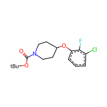 CC(C)(C)OC(=O)N1CCC(Oc2cccc(Cl)c2F)CC1